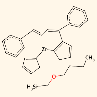 C1=CC[C]([Zr][C]2=C(C(=CC=Cc3ccccc3)c3ccccc3)C=CC2)=C1.CCCCOC[SiH3]